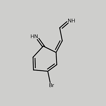 N=C/C=C1/C=C(Br)C=CC1=N